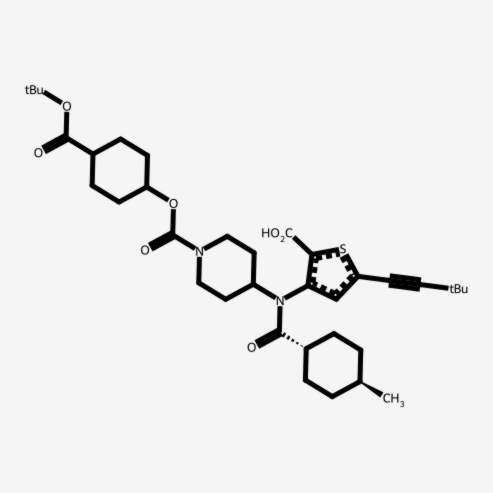 CC(C)(C)C#Cc1cc(N(C(=O)[C@H]2CC[C@H](C)CC2)C2CCN(C(=O)OC3CCC(C(=O)OC(C)(C)C)CC3)CC2)c(C(=O)O)s1